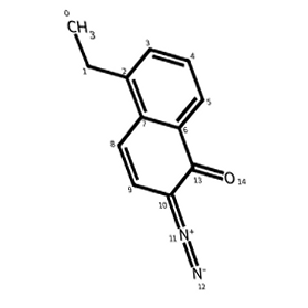 CCc1cccc2c1C=CC(=[N+]=[N-])C2=O